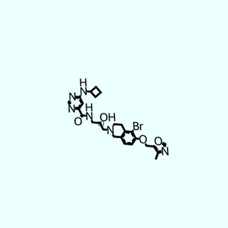 Cc1ncoc1COc1ccc2c(c1Br)CCN(C[C@@H](O)CNC(=O)c1cc(NC3CCC3)ncn1)C2